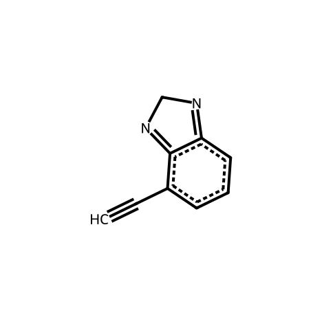 C#Cc1cccc2c1=NCN=2